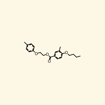 CCCCOc1ccc(C(=O)OCCOc2ccc(C)cc2)cc1C